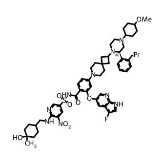 COC1CCC(N2CCN(C3CC4(CCN(c5ccc(C(=O)NS(=O)(=O)c6cnc(NCC7CCC(C)(O)CC7)c([N+](=O)[O-])c6)c(Oc6cnc7[nH]cc(F)c7c6)c5)CC4)C3)[C@H](c3ccccc3C(C)C)C2)CC1